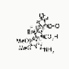 COc1ccc(CCN)cc1OC.O=C(O)c1ccc(Br)cc1.O=Cc1cc(C(F)(F)F)cc(C(F)(F)F)c1